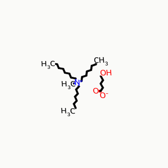 CCCCCCCC[N+](C)(CCCCCCCC)CCCCCCCC.O=C([O-])CCCCO